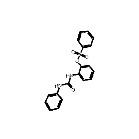 O=C(Nc1ccccc1)Nc1ccccc1OS(=O)(=O)c1ccccc1